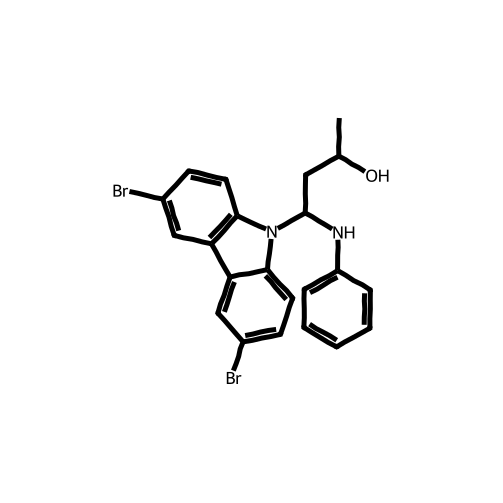 CC(O)CC(Nc1ccccc1)n1c2ccc(Br)cc2c2cc(Br)ccc21